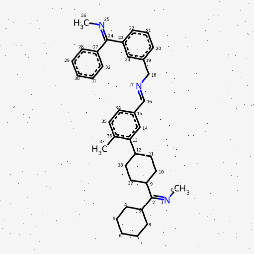 C/N=C(/C1CCCCC1)C1CCC(c2cc(/C=N/Cc3cccc(/C(=N/C)c4ccccc4)c3)ccc2C)CC1